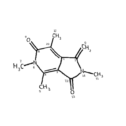 C=C1c2c(c(C)n(C)c(=O)c2C)C(=O)N1C